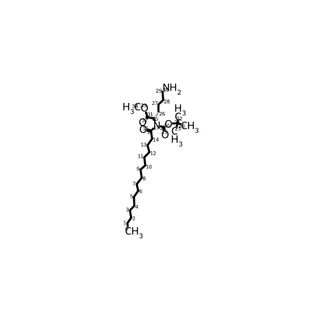 CCCCCCCCCCCCCCCC(=O)N(C(=O)OC(C)(C)C)[C@@H](CCCCN)C(=O)OC